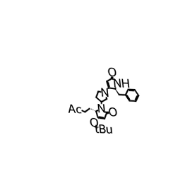 CC(=O)CC[C@H]1C(OC(C)(C)C)=CC(=O)N1[C@H]1CCN(C2=CC(=O)N[C@H]2Cc2ccccc2)C1